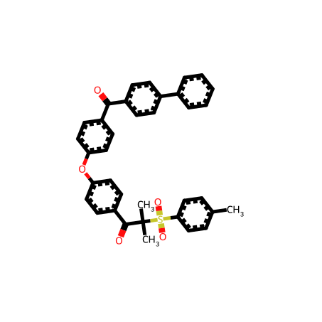 Cc1ccc(S(=O)(=O)C(C)(C)C(=O)c2ccc(Oc3ccc(C(=O)c4ccc(-c5ccccc5)cc4)cc3)cc2)cc1